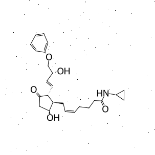 O=C(CCC/C=C\C[C@H]1[C@@H](O)CC(=O)[C@@H]1/C=C/[C@@H](O)COc1ccccc1)NC1CC1